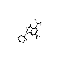 FC(F)c1cc(Br)cc2c1c(I)nn2C1CCCCO1